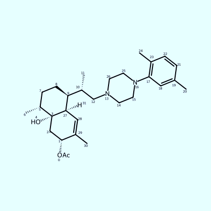 CC(=O)O[C@@H]1[C][C@@]2(O)[C@H](C)CC[C@@H]([C@H](C)CN3CCN(c4cc(C)ccc4C)CC3)[C@H]2C=C1C